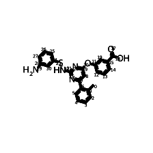 Cc1ccccc1-c1cc(Oc2cccc(C(=O)O)c2)nc(NSc2cccc(N)c2)n1